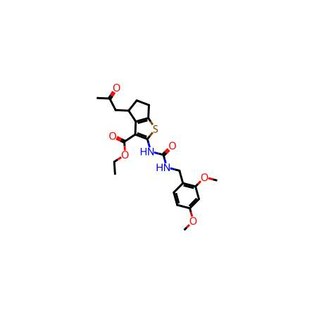 CCOC(=O)c1c(NC(=O)NCc2ccc(OC)cc2OC)sc2c1C(CC(C)=O)CC2